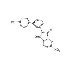 O=C1c2ccc([N+](=O)[O-])cc2C(=O)N1c1cccc(-c2ccc(O)cc2)c1